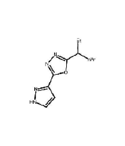 CCCC(CC)c1nnc(-c2cc[nH]n2)o1